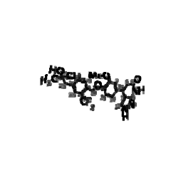 COc1cc(C2CC(=O)Nc3n[nH]cc32)ccc1OCc1ccc(CC(C)(C)O)cc1C(F)(F)F